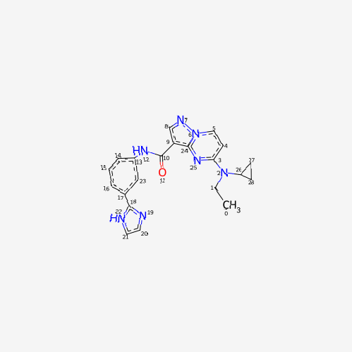 CCN(c1ccn2ncc(C(=O)Nc3cccc(-c4ncc[nH]4)c3)c2n1)C1CC1